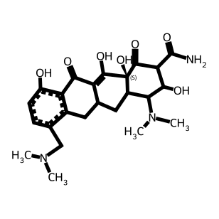 CN(C)Cc1ccc(O)c2c1CC1CC3C(N(C)C)C(O)C(C(N)=O)C(=O)[C@@]3(O)C(O)=C1C2=O